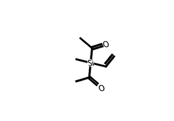 C=C[Si](C)(C(C)=O)C(C)=O